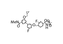 CNC(=O)c1cc(OCC2CC2)cc(-c2cc(F)cc(OCc3ccc(C(=O)NS(C)(=O)=O)cc3F)c2)c1